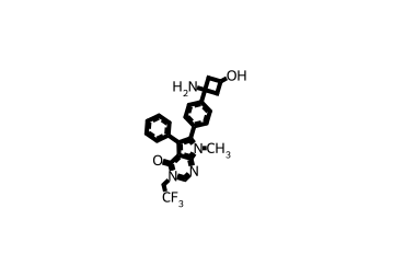 Cn1c(-c2ccc(C3(N)CC(O)C3)cc2)c(-c2ccccc2)c2c(=O)n(CC(F)(F)F)cnc21